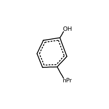 CCCc1cccc(O)c1